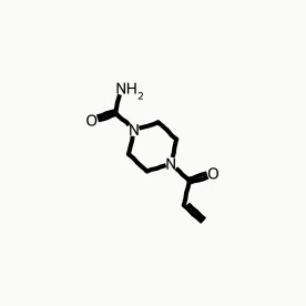 C=CC(=O)N1CCN(C(N)=O)CC1